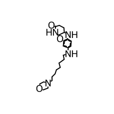 O=C1CCC(Nc2ccc(NCCCCCCCCN3CCOCC3)cc2)C(=O)N1